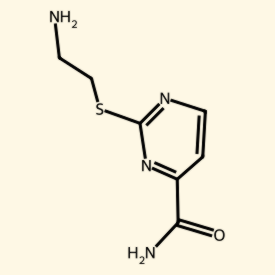 NCCSc1nccc(C(N)=O)n1